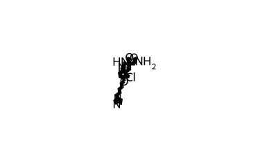 NC(=O)CC1C(=O)NC2=Nc3ccc(OCCCCCn4ccnc4)c(Cl)c3CN21